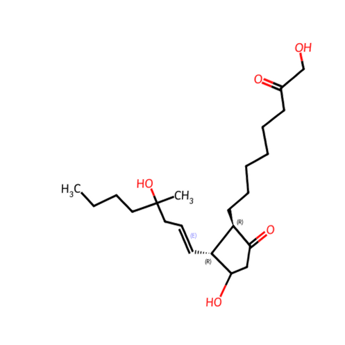 CCCCC(C)(O)C/C=C/[C@H]1C(O)CC(=O)[C@@H]1CCCCCCC(=O)CO